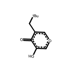 CC(C)(C)Cc1cocc(O)c1=O